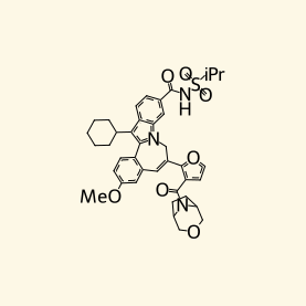 COc1ccc2c(c1)C=C(c1occc1C(=O)N1C3CCC1COC3)Cn1c-2c(C2CCCCC2)c2ccc(C(=O)NS(=O)(=O)C(C)C)cc21